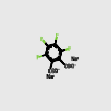 O=C([O-])c1c(F)c(F)c(F)c(F)c1C(=O)[O-].[Na+].[Na+]